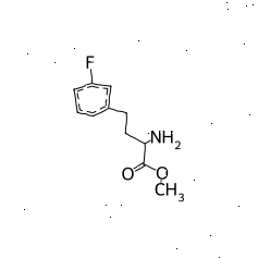 COC(=O)C(N)CCc1cccc(F)c1